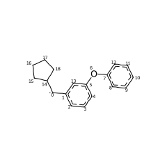 [CH](c1cccc(Oc2ccccc2)c1)C1CCCC1